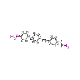 PCc1ccc(C#Cc2ccc(-c3ccc(P)cc3)cc2)cc1